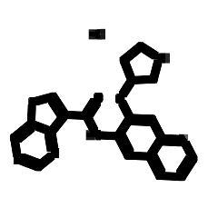 Cl.O=C(Nc1cc2cccnc2cc1OC1CCNC1)c1csc2cncnc12